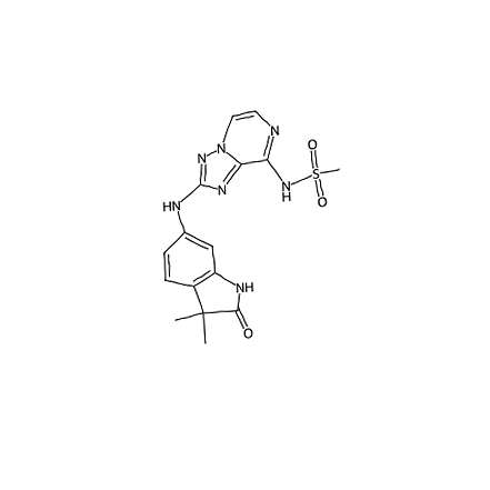 CC1(C)C(=O)Nc2cc(Nc3nc4c(NS(C)(=O)=O)nccn4n3)ccc21